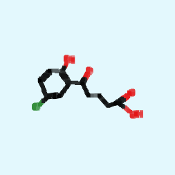 O=C(O)CCCC(=O)c1cc(Cl)ccc1O